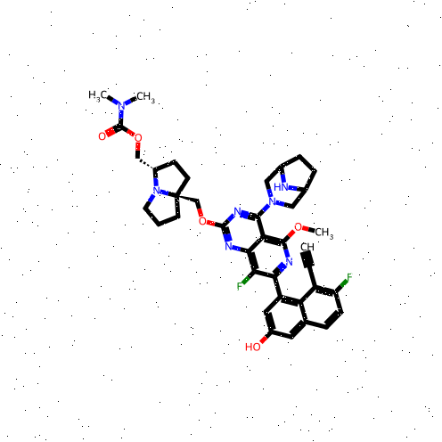 C#Cc1c(F)ccc2cc(O)cc(-c3nc(OC)c4c(N5CC6CCC(C5)N6)nc(OC[C@@]56CCCN5[C@H](COC(=O)N(C)C)CC6)nc4c3F)c12